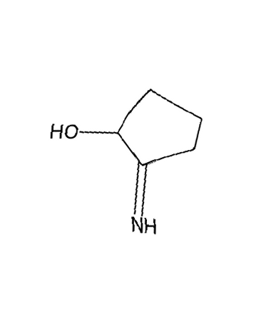 N=C1CCCC1O